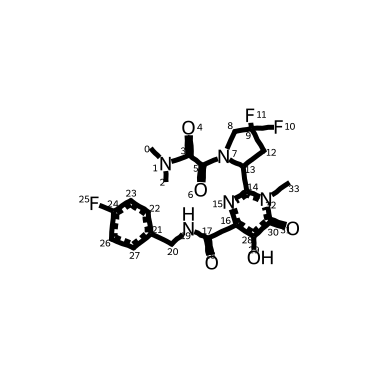 CN(C)C(=O)C(=O)N1CC(F)(F)CC1c1nc(C(=O)NCc2ccc(F)cc2)c(O)c(=O)n1C